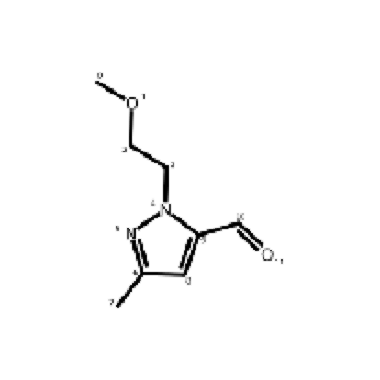 COCCn1nc(C)cc1[C]=O